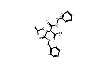 CC(C)C[C@@H](C(=O)OCc1ccccc1)C(C(=O)O)C(=O)OCc1ccccc1